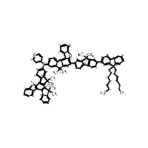 CCCCCCCC1(CCCCCCC)c2ccccc2-c2ccc(-c3ccc4c(c3)C(C)(C)c3cc(-c5cc6c(c7c5oc5ccccc57)-c5ccc(N(c7ccncc7)c7ccc8c(c7)C(C)(C)c7c9c(c%10c(oc%11ccccc%11%10)c7-8)-c7ccccc7C9(C)C)cc5C6(C)C)ccc3-4)cc21